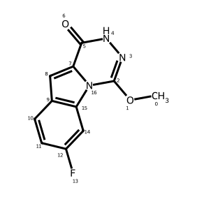 COc1n[nH]c(=O)c2cc3ccc(F)cc3n12